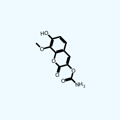 COc1c(O)ccc2cc(OC(N)=O)c(=O)oc12